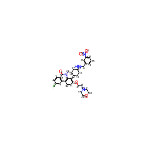 O=C(c1ccc(F)cc1)N(CC1CCCC(NCc2cccc([N+](=O)[O-])c2)C1)c1cccc(OCCN2CCOCC2)c1